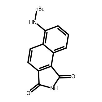 CCCCNc1cccc2c3c(ccc12)C(=O)NC3=O